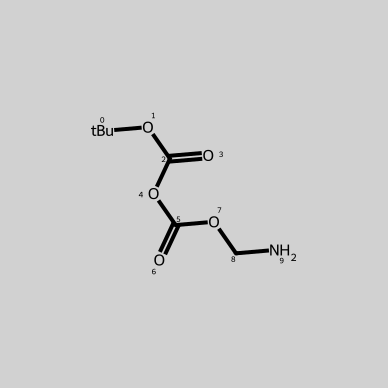 CC(C)(C)OC(=O)OC(=O)OCN